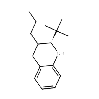 CCCC1Cc2ccccc2N[C@@H]1C(C)(C)C